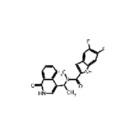 CC(c1c[nH]c(=O)c2ccccc12)N(C)C(=O)c1cc2cc(F)c(F)cc2[nH]1